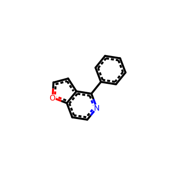 c1ccc(-c2nccc3occc23)cc1